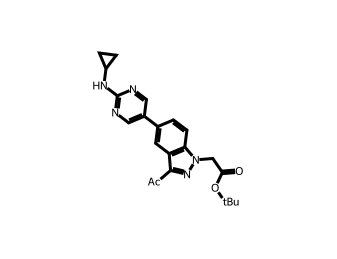 CC(=O)c1nn(CC(=O)OC(C)(C)C)c2ccc(-c3cnc(NC4CC4)nc3)cc12